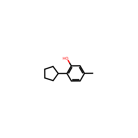 Cc1ccc(C2CCCC2)c(O)c1